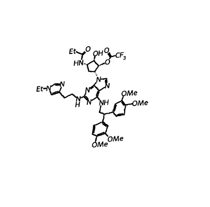 CCC(=O)N[C@H]1C[C@@H](n2cnc3c(NCC(c4ccc(OC)c(OC)c4)c4ccc(OC)c(OC)c4)nc(NCCc4cn(CC)cn4)nc32)[C@H](OC(=O)C(F)(F)F)[C@@H]1O